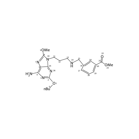 CCCCOc1nc(N)c2nc(OC)n(CCCNCc3cccc(C(=O)OC)c3)c2n1